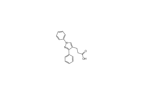 O=C(O)CCc1cn(-c2ccccc2)nc1-c1ccccc1